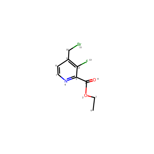 CCOC(=O)c1nccc(CBr)c1F